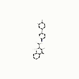 Cc1ccc(-c2cc/c(=N/C(=N)c3[nH]c4ccccc4c(=O)c3C)[nH]c2)cc1F